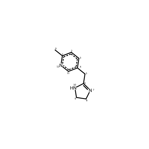 Cc1ccc(CC2=NCCN2)cn1